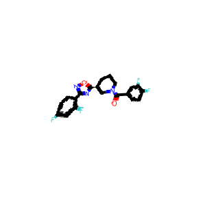 O=C(c1ccc(F)c(F)c1)N1CCC[C@H](c2nc(-c3ccc(F)cc3F)no2)C1